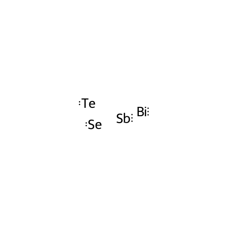 [Bi].[Sb].[Se].[Te]